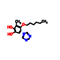 CCCCCCOc1ccc(O)c(O)c1C.c1ncncn1